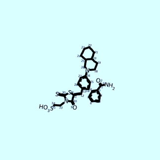 NC(=O)c1ccccc1.O=C1C(=Cc2ccc(N3CCC4CCCCC4C3)cc2)SC(=S)N1CCS(=O)(=O)O